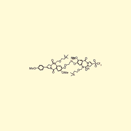 CC[C@@H](CCOOc1cc2c(cc1OC)C(=O)N1C=C(c3ccc(OC)cc3)CC1C(=O)N2COCC[Si](C)(C)C)Oc1cc2c(cc1OC)C(=O)N1C=C(S(=O)(=O)C(F)(F)F)C[C@H]1C(=O)N2COCC[Si](C)(C)C